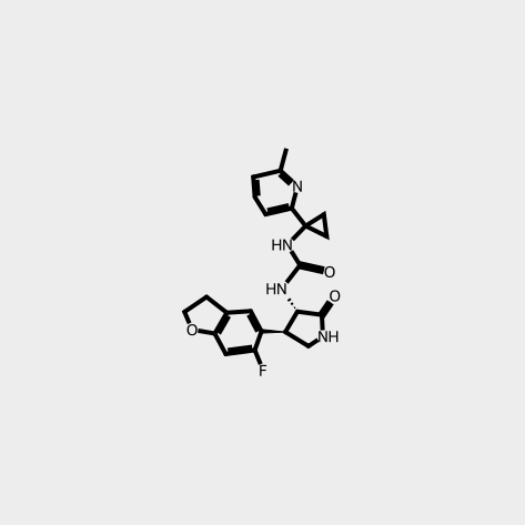 Cc1cccc(C2(NC(=O)N[C@@H]3C(=O)NC[C@H]3c3cc4c(cc3F)OCC4)CC2)n1